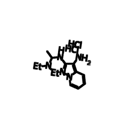 CCN(CC)C(C)Nc1nn2ccccc2c1N.Cl.Cl